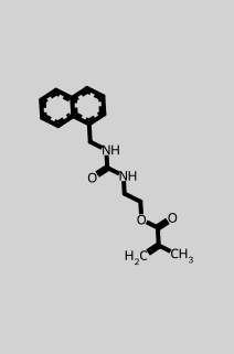 C=C(C)C(=O)OCCNC(=O)NCc1cccc2ccccc12